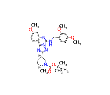 COc1ccc(CNc2nc3cc(OC)ccc3c3nc([C@H]4CC[C@@H](C)N(C(=O)OC(C)(C)C)C4)nn23)c(OC)c1